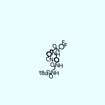 CC(C)(C)OC(=O)NCCC(=O)Nc1ccc(Cn2c(C(=O)NC3CCC(F)(F)CC3)cc3ccc(C#N)cc32)cc1